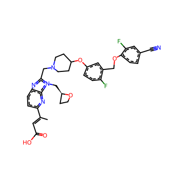 C/C(=C\C(=O)O)c1ccc2nc(CN3CCC(Oc4ccc(F)c(COc5ccc(C#N)cc5F)c4)CC3)n(C[C@@H]3CCO3)c2n1